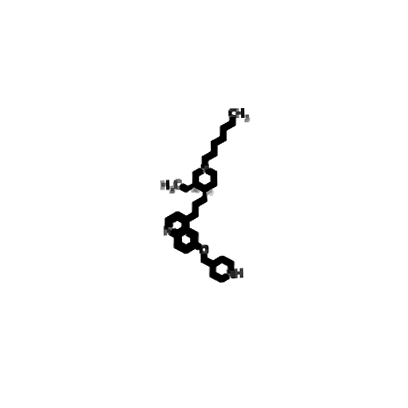 CCCCCCCN1CC[C@@H](CCCc2ccnc3ccc(OCC4CCNCC4)cc23)[C@@H](CC)C1